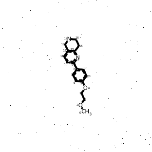 COCCOc1ccc(-c2ccc3c(n2)CC[N]C3)cc1